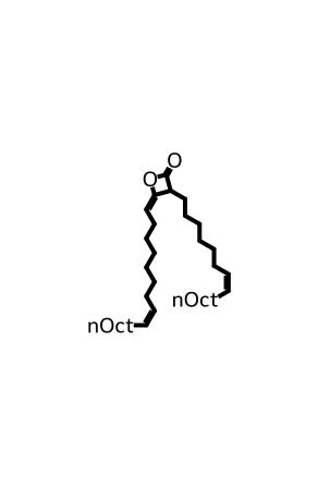 CCCCCCCC/C=C\CCCCCC/C=C1/OC(=O)C1CCCCCC/C=C\CCCCCCCC